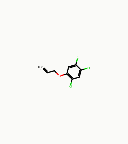 C=CCOc1cc(Cl)c(Cl)cc1Cl